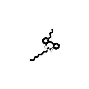 CCCCCCCCP1Oc2ccccc2Cc2c(CCCC)cccc2O1